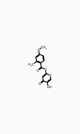 COc1ccc(C(=O)Oc2cc(=O)c(O)co2)c(C)c1